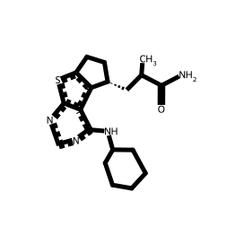 CC(C[C@H]1CCc2sc3ncnc(NC4CCCCC4)c3c21)C(N)=O